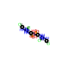 O=S(=O)(O)c1cc(Nc2nc(Cl)nc(Nc3ccc(Cl)cc3)n2)ccc1/C=C/c1ccc(Nc2nc(Cl)nc(Nc3ccc(Cl)cc3)n2)cc1S(=O)(=O)O